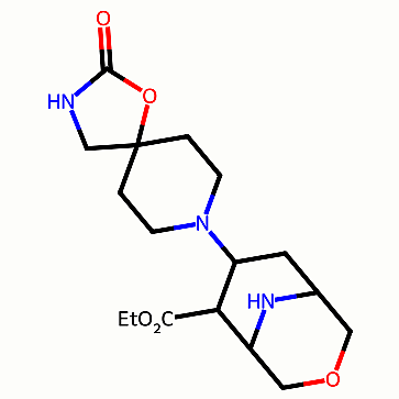 CCOC(=O)C1C2COCC(CC1N1CCC3(CC1)CNC(=O)O3)N2